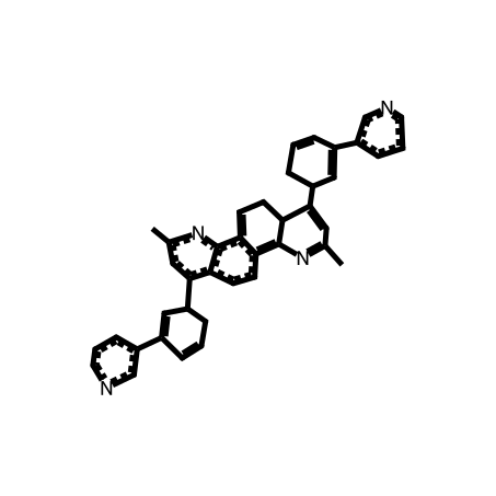 CC1=NC2=c3ccc4c(C5C=C(c6cccnc6)C=CC5)cc(C)nc4c3=CCC2C(C2C=C(c3cccnc3)C=CC2)=C1